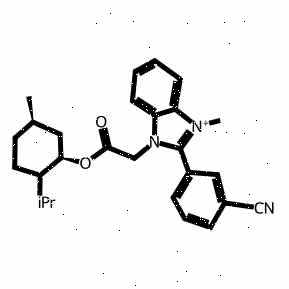 CC(C)C1CC[C@@H](C)C[C@H]1OC(=O)Cn1c(-c2cccc(C#N)c2)[n+](C)c2ccccc21